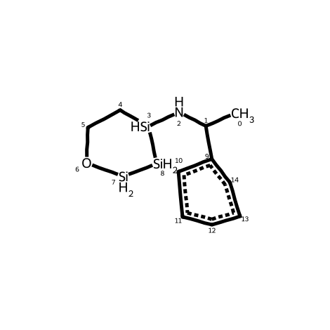 CC(N[SiH]1CCO[SiH2][SiH2]1)c1ccccc1